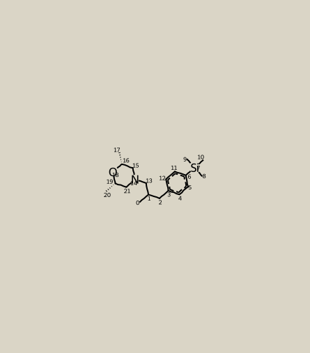 CC(Cc1ccc([Si](C)(C)C)cc1)CN1C[C@@H](C)O[C@@H](C)C1